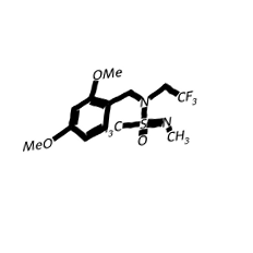 CN=S(C)(=O)N(Cc1ccc(OC)cc1OC)CC(F)(F)F